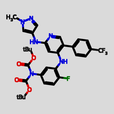 Cn1cc(Nc2cc(Nc3cc(N(C(=O)OC(C)(C)C)C(=O)OC(C)(C)C)ccc3F)c(-c3ccc(C(F)(F)F)cc3)cn2)cn1